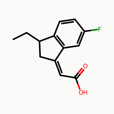 CCC1C/C(=C/C(=O)O)c2cc(F)ccc21